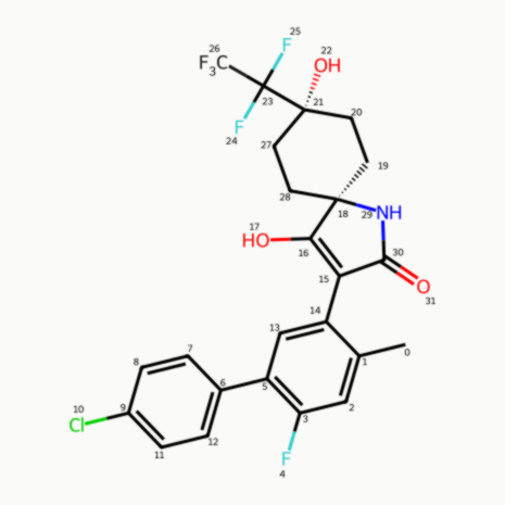 Cc1cc(F)c(-c2ccc(Cl)cc2)cc1C1=C(O)[C@]2(CC[C@](O)(C(F)(F)C(F)(F)F)CC2)NC1=O